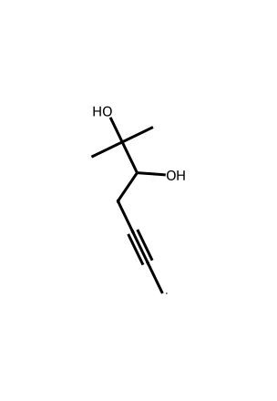 [CH2]C#CCC(O)C(C)(C)O